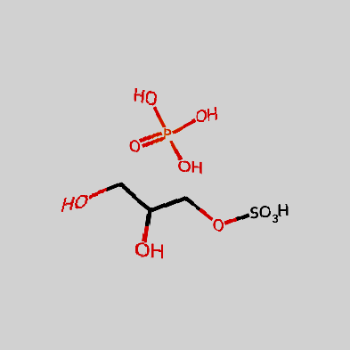 O=P(O)(O)O.O=S(=O)(O)OCC(O)CO